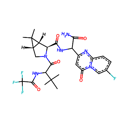 CC(C)(C)C(NC(=O)C(F)(F)F)C(=O)N1C[C@H]2[C@@H]([C@H]1C(=O)NC(C(N)=O)c1cc(=O)n3cc(F)ccc3n1)C2(C)C